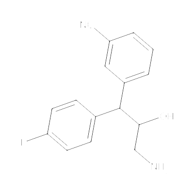 N#Cc1cccc(C(c2ccc(F)cc2)C(O)CN)c1